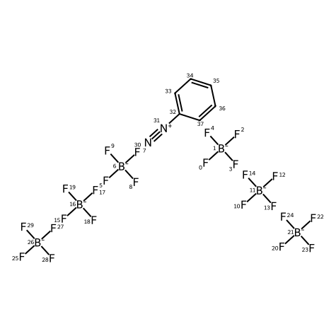 F[B-](F)(F)F.F[B-](F)(F)F.F[B-](F)(F)F.F[B-](F)(F)F.F[B-](F)(F)F.F[B-](F)(F)F.N#[N+]c1ccccc1